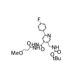 COCCC(=O)NNC(=O)c1cc(-c2ccc(F)cc2)ncc1CNC(=O)OC(C)(C)C